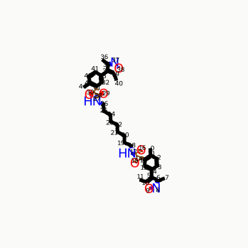 Cc1ccc(-c2c(C)noc2C)cc1S(=O)(=O)NCCCCCCCCCNS(=O)(=O)c1cc(-c2c(C)noc2C)ccc1C